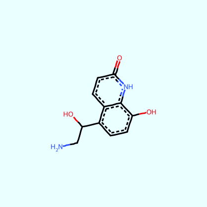 NCC(O)c1ccc(O)c2[nH]c(=O)ccc12